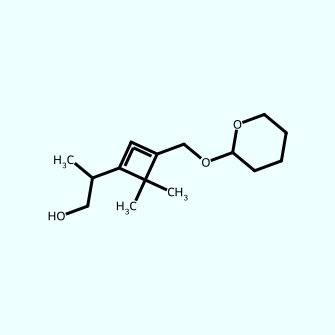 CC(CO)C1=C=C(COC2CCCCO2)C1(C)C